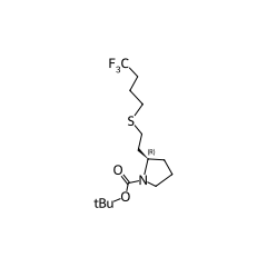 CC(C)(C)OC(=O)N1CCC[C@@H]1CCSCCCC(F)(F)F